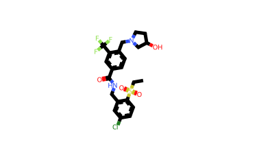 CCS(=O)(=O)c1ccc(Cl)cc1CNC(=O)c1ccc(CN2CCC(O)C2)c(C(F)(F)F)c1